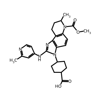 COC(=O)N1c2ccc3c(nc(Nc4ccnc(C)c4)n3C3CCC(C(=O)O)CC3)c2CCC1C